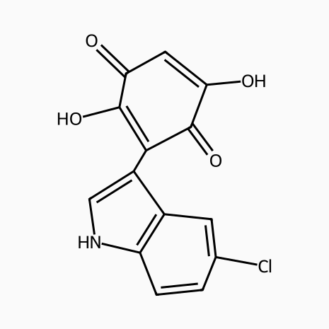 O=C1C=C(O)C(=O)C(c2c[nH]c3ccc(Cl)cc23)=C1O